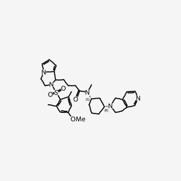 COc1cc(C)c(S(=O)(=O)N2CCn3cccc3C2CCCC(=O)N(C)[C@H]2CCC[C@@H](N3CCc4cnccc4C3)C2)c(C)c1